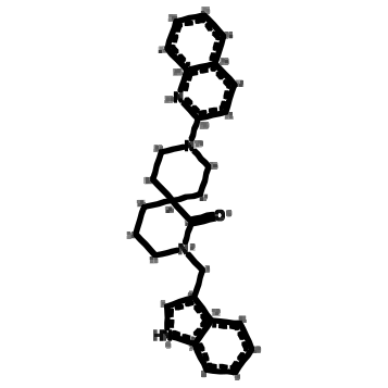 O=C1N(Cc2c[nH]c3ccccc23)CCCC12CCN(c1ccc3ccccc3n1)CC2